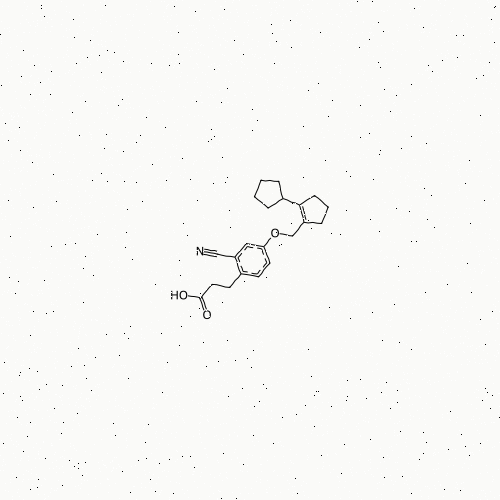 N#Cc1cc(OCC2=C(C3CCCC3)CCC2)ccc1CCC(=O)O